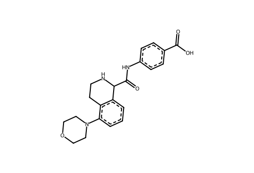 O=C(O)c1ccc(NC(=O)C2NCCc3c2cccc3N2CCOCC2)cc1